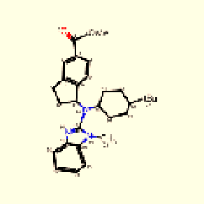 COC(=O)c1ccc2c(c1)CCC2N(c1nc2ccccc2n1C)C1CCC(C(C)(C)C)CC1